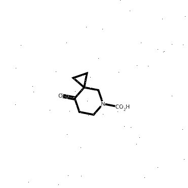 O=C(O)N1CCC(=O)C2(CC2)C1